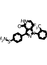 NSc1ccc(-c2nn(-c3ccccc3C(F)(F)F)c3cc[nH]c(=O)c23)cc1